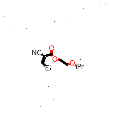 CCC=C(C#N)C(=O)OCCOC(C)C